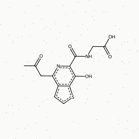 CC(=O)Cc1nc(C(=O)NCC(=O)O)c(O)c2sccc12